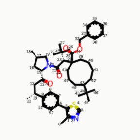 Cc1ncsc1-c1ccc([C@H](C)CC(=O)[C@@H]2C[C@@H](C)CN2C(=O)[C@H](C(C)(C)C)C2(C(=O)OCc3ccccc3)CCCCC(C(C)(C)C)CCC2)cc1